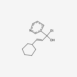 CCC(O)(C=CC1CCCCC1)c1cccnc1